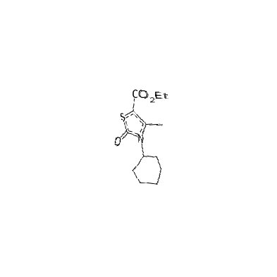 CCOC(=O)c1sc(=O)n(C2CCCCC2)c1C